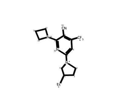 CCC1CCN(c2cc(C(F)(F)F)c(C#N)c(N3CCC3)n2)C1